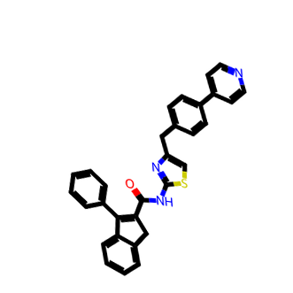 O=C(Nc1nc(Cc2ccc(-c3ccncc3)cc2)cs1)C1=C(c2ccccc2)c2ccccc2C1